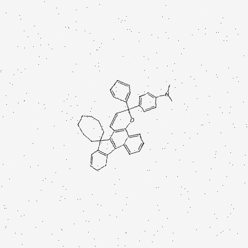 CN(C)c1ccc(C2(c3ccccc3)C=Cc3c4c(c5ccccc5c3O2)C2=C(C=CCC2)C42CCCCCCC2)cc1